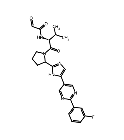 CC(C)[C@H](NC(=O)C=O)C(=O)N1CCCC1c1ncc(-c2cnc(-c3cccc(F)c3)nc2)[nH]1